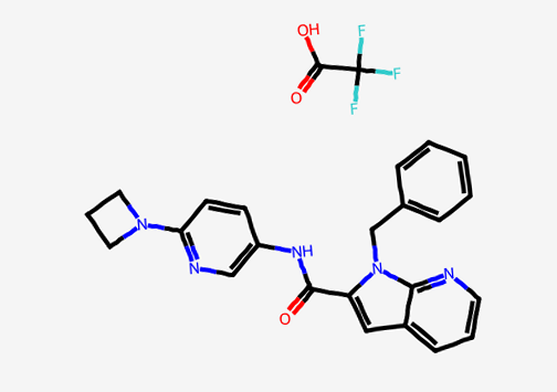 O=C(Nc1ccc(N2CCC2)nc1)c1cc2cccnc2n1Cc1ccccc1.O=C(O)C(F)(F)F